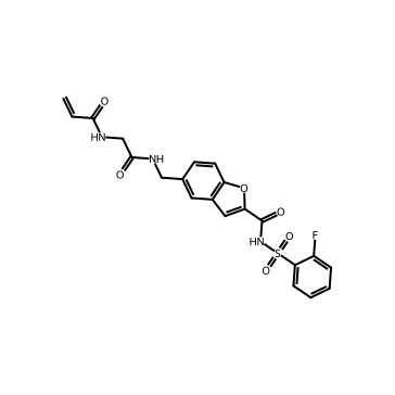 C=CC(=O)NCC(=O)NCc1ccc2oc(C(=O)NS(=O)(=O)c3ccccc3F)cc2c1